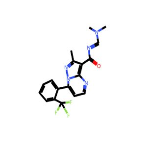 Cc1nn2c(-c3ccccc3C(F)(F)F)ccnc2c1C(=O)N=CN(C)C